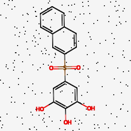 O=S(=O)(c1cc(O)c(O)c(O)c1)c1ccc2ccccc2c1